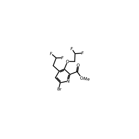 COC(=O)c1nc(Br)cc(CC(F)F)c1OCC(F)F